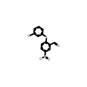 O=Cc1cc([N+](=O)[O-])ccc1Sc1cccc(Cl)c1